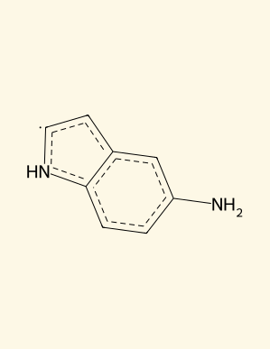 Nc1ccc2[nH][c]cc2c1